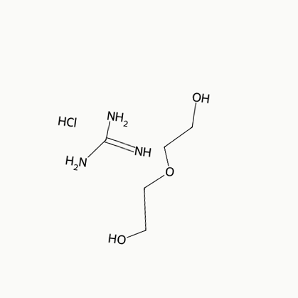 Cl.N=C(N)N.OCCOCCO